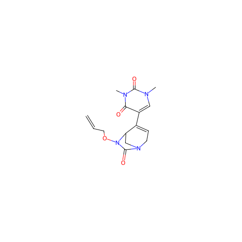 C=CCON1C(=O)N2CC=C(c3cn(C)c(=O)n(C)c3=O)C1C2